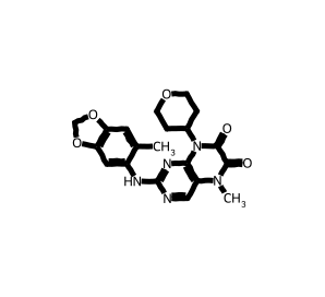 Cc1cc2c(cc1Nc1ncc3c(n1)n(C1CCOCC1)c(=O)c(=O)n3C)OCO2